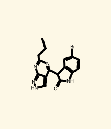 CCCc1nc(C2C(=O)Nc3ccc(Br)cc32)c2c[nH]nc2n1